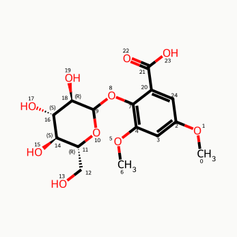 COc1cc(OC)c(OC2O[C@H](CO)[C@@H](O)[C@H](O)[C@H]2O)c(C(=O)O)c1